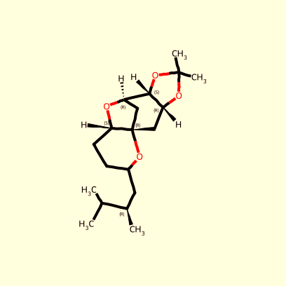 CC(C)[C@H](C)CC1CC[C@@H]2O[C@@H]3C[C@]2(C[C@H]2OC(C)(C)O[C@@H]32)O1